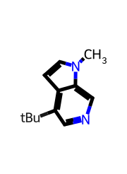 Cn1ccc2c(C(C)(C)C)cncc21